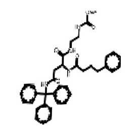 COC(=O)NCCNC(=O)C(CC(=O)NC(c1ccccc1)(c1ccccc1)c1ccccc1)NC(=O)CCCc1ccccc1